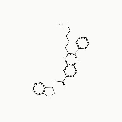 O=C(O)CCCCc1nc2cc(C(=O)N[C@H]3COc4ccccc43)ccc2nc1-c1ccccc1